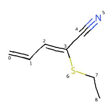 C=C/C=C(/C#N)SCC